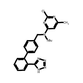 CCCCN(Cc1ccc(-c2ccccc2-c2nnn[nH]2)cc1)c1cc(C)nc(Cl)n1